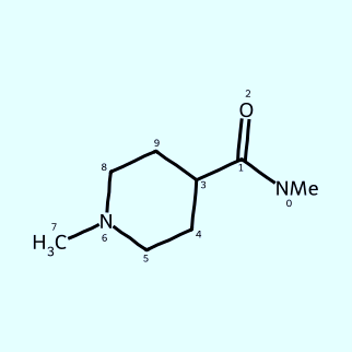 CNC(=O)C1CCN(C)CC1